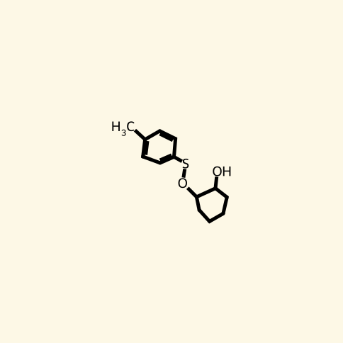 Cc1ccc(SOC2CCCCC2O)cc1